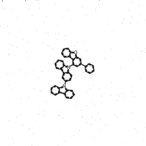 c1ccc(-c2cc(-n3c4ccccc4c4cc(-n5c6ccccc6c6ccccc65)ccc43)c3c(c2)oc2ccccc23)cc1